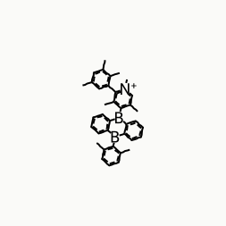 Cc1cc(C)c(C)c(-c2c(C)c(B3c4ccccc4B(c4c(C)cccc4C)c4ccccc43)c(C)c[n+]2C)c1